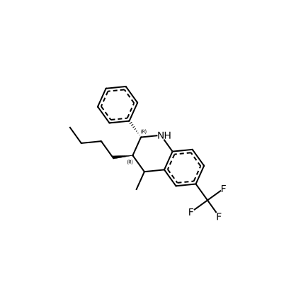 CCCC[C@@H]1C(C)c2cc(C(F)(F)F)ccc2N[C@H]1c1ccccc1